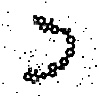 O=C1CC[C@H](N2C(=O)c3ccc(NCC(=O)N4CCC(CN5CCN(c6ccc(Nc7ncnc8c7ncn8C7CC(NC(=O)c8c(Cl)cccc8Cl)C7)cc6)CC5)CC4)cc3C2=O)C(=O)N1